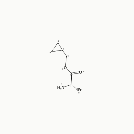 CC(C)[C@H](N)C(=O)OCC1CC1